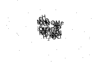 COCCN(C)S(=O)(=O)Nc1cc(-c2ccc3ncc(=O)n(-c4ccccc4)c3c2)cnc1Cl.COCC[N+](C)(c1cc(B2OC(C)(C)C(C)(C)O2)cnc1Cl)S(N)(=O)=O